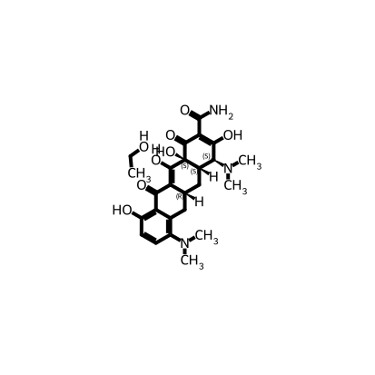 CCO.CN(C)c1ccc(O)c2c1C[C@H]1C[C@H]3[C@H](N(C)C)C(O)=C(C(N)=O)C(=O)[C@@]3(O)C(O)=C1C2=O